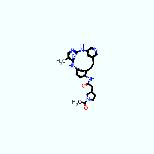 CC(=O)N1CCC(CC(=O)Nc2ccc3cc2CCc2cncc(c2)Nc2ncc(C)c(n2)N3)C1